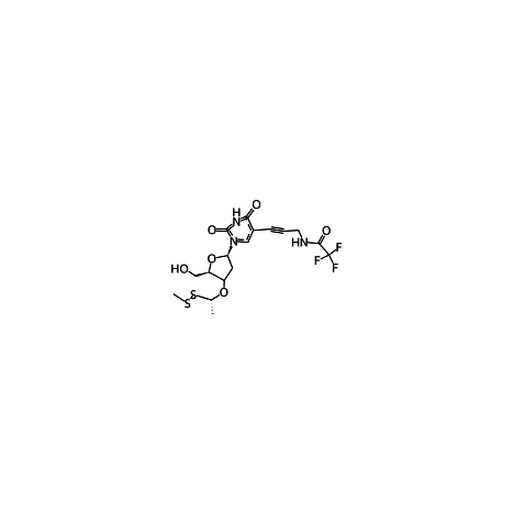 CSS[C@@H](C)OC1C[C@H](n2cc(C#CCNC(=O)C(F)(F)F)c(=O)[nH]c2=O)O[C@@H]1CO